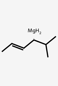 C/C=C/[CH]C(C)C.[MgH2]